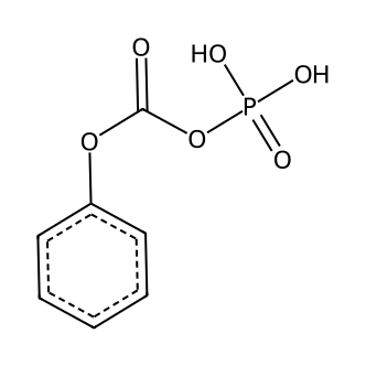 O=C(Oc1ccccc1)OP(=O)(O)O